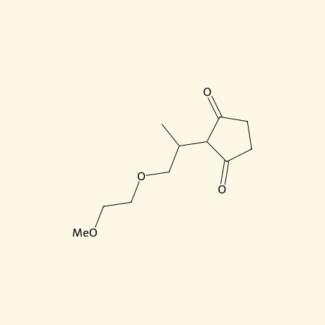 COCCOCC(C)C1C(=O)CCC1=O